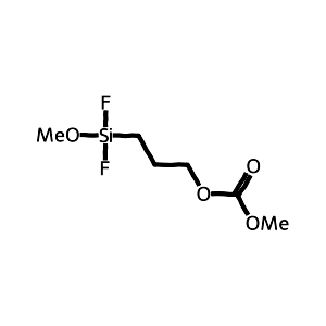 COC(=O)OCCC[Si](F)(F)OC